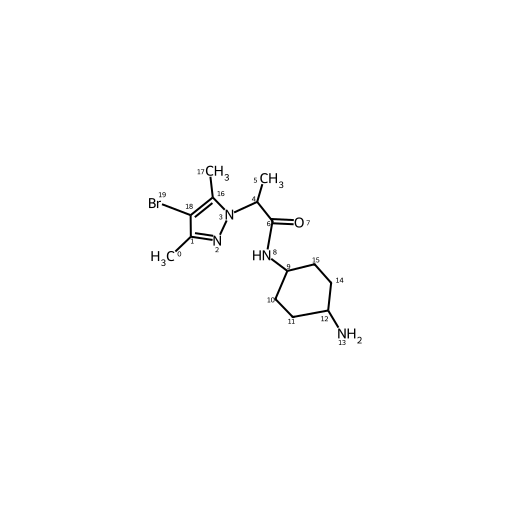 Cc1nn(C(C)C(=O)NC2CCC(N)CC2)c(C)c1Br